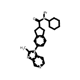 Cc1nc2cnccc2n1-c1ccc2c(c1)CC(C(=O)N(C(C)C)C1CCCCC1)C2